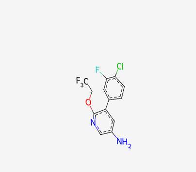 Nc1cnc(OCC(F)(F)F)c(-c2ccc(Cl)c(F)c2)c1